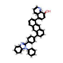 Oc1ccc(-c2cccc3cc4c(-c5ccc(-c6nc7ccccc7n6-c6ccccc6)cc5)cccc4cc23)c2cccnc12